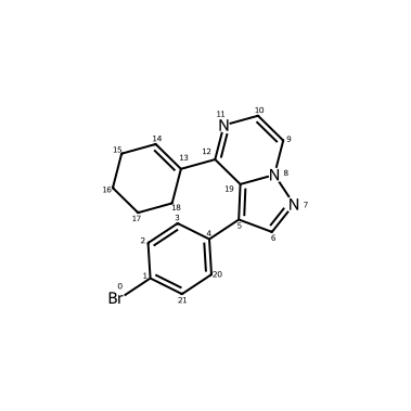 Brc1ccc(-c2cnn3ccnc(C4=CCCCC4)c23)cc1